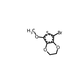 COc1sc(Br)c2c1OCCO2